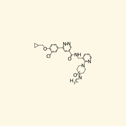 CN=S1(=O)CCN(c2ncccc2CNC(=O)c2cnnc(-c3ccc(OCC4CC4)c(Cl)c3)c2)CC1